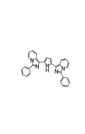 c1ccc(-c2nc(-c3ccc(-c4nc(-c5ccccc5)n5ccccc45)[nH]3)c3ccccn23)cc1